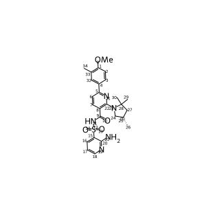 COc1ccc(-c2ccc(C(=O)NS(=O)(=O)c3cccnc3N)c(N3C[C@@H](C)CC3(C)C)n2)cc1C